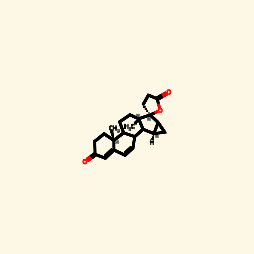 C[C@]12CCC(=O)C=C1C=CC1C2CC[C@@]2(C)C1[C@@H]1CC1[C@@]21CCC(=O)O1